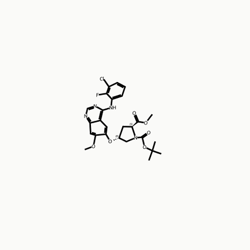 COC(=O)[C@@H]1C[C@@H](Oc2cc3c(Nc4cccc(Cl)c4F)ncnc3cc2OC)CN1C(=O)OC(C)(C)C